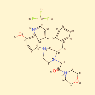 COc1ccc(N2CCN(CC(=O)N3CCOCC3)[C@@H](Cc3ccccc3)C2)c2ccc(C(F)(F)F)nc12